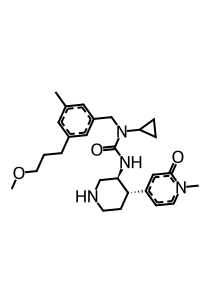 COCCCc1cc(C)cc(CN(C(=O)N[C@@H]2CNCC[C@H]2c2ccn(C)c(=O)c2)C2CC2)c1